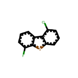 Fc1cccc2c1sc1cccc(Cl)c12